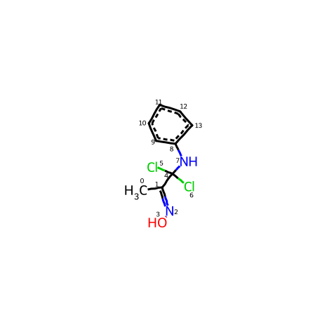 CC(=NO)C(Cl)(Cl)Nc1ccccc1